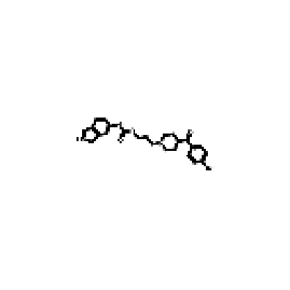 O=C(Nc1ccc2c(c1)CNC2)OCCCN1CCC(C(=O)c2ccc(Br)cc2)CC1